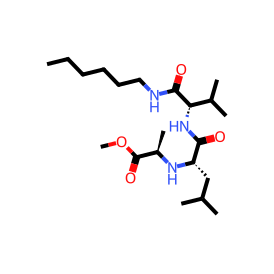 CCCCCCNC(=O)[C@@H](NC(=O)[C@H](CC(C)C)N[C@H](C)C(=O)OC)C(C)C